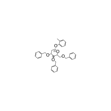 Cc1ccccc1O[C@H]1CC(OCc2ccccc2)[C@H](OCc2ccccc2)C(COCc2ccccc2)O1